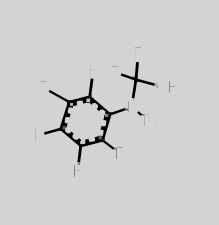 CCP(c1c(F)c(F)c(F)c(F)c1F)C(F)(F)C(F)(F)F